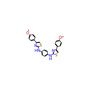 COc1ccc(-c2csc(Nc3ccc(Nc4nc(-c5ccc(OC)cc5)cs4)cc3)n2)cc1